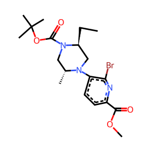 CC[C@H]1CN(c2ccc(C(=O)OC)nc2Br)[C@H](C)CN1C(=O)OC(C)(C)C